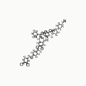 N#Cc1ccc(-c2ccc(C[C@H](NC(=O)[C@@H]3Cc4cc5c(cc4CN3C(=O)c3ccccn3)OC(c3ccc(OCc4ccc(Cl)c(Cl)c4)cc3)CO5)C(=O)O)cc2)cc1